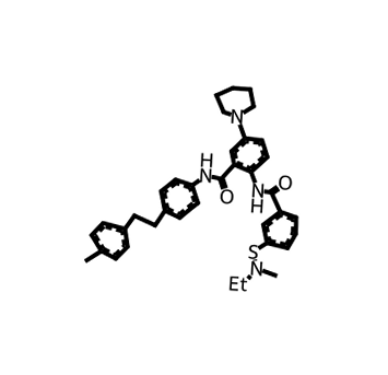 CCN(C)Sc1cccc(C(=O)Nc2ccc(N3CCCCC3)cc2C(=O)Nc2ccc(CCc3ccc(C)cc3)cc2)c1